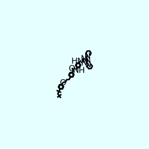 CC(C)(C)CC(C)(C)c1ccc(OCCCc2ccc(C(=O)Nc3ccc(Nc4nc(N5CCCCC5)nc(N5CCCCC5)n4)cc3)cc2)cc1